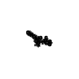 C=CC(F)(F)Cn1c(C#CCNc2ccc(S(C)(=O)=O)cc2OCC(=O)O)cc2c(N[C@H]3CC[C@@H](N4CC5(CCOCC5)C4)CC3)cccc21